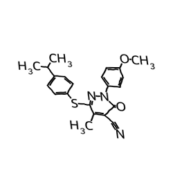 COc1ccc(-n2nc(Sc3ccc(C(C)C)cc3)c(C)c(C#N)c2=O)cc1